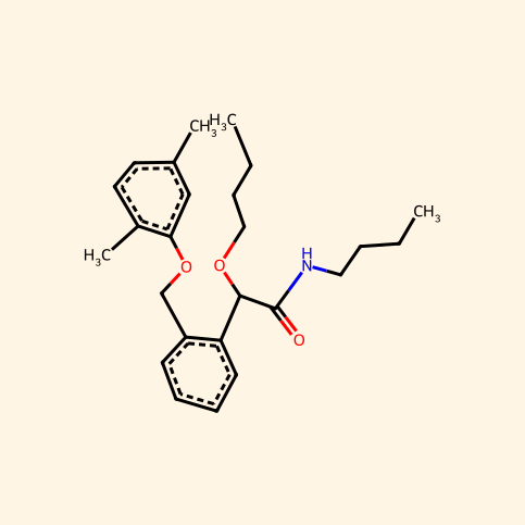 CCCCNC(=O)C(OCCCC)c1ccccc1COc1cc(C)ccc1C